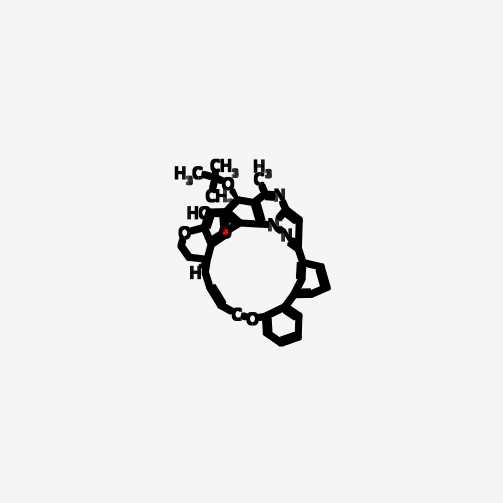 Cc1nc2cc3nn2c(c1[C@H](OC(C)(C)C)C(=O)O)-c1ccc2c(c1)[C@@H](CC=CCOc1ccccc1-c1cccc-3c1)CCO2